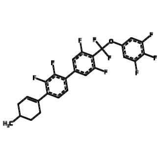 CC1CC=C(c2ccc(-c3cc(F)c(C(F)(F)Oc4cc(F)c(F)c(F)c4)c(F)c3)c(F)c2F)CC1